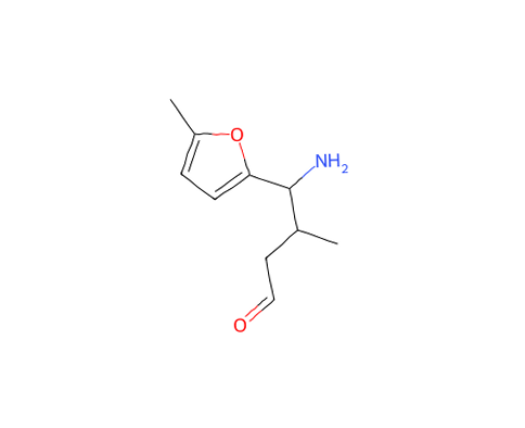 Cc1ccc(C(N)C(C)CC=O)o1